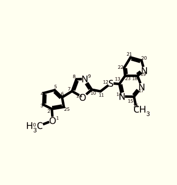 COc1cccc(-c2cnc(CSc3nc(C)nc4ncccc34)o2)c1